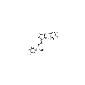 OC(C=Cc1ccnn1Cc1ccccc1)c1nc[nH]n1